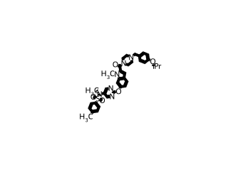 Cc1ccc(S(=O)(=O)N(C)c2cnc(Oc3ccc4cc(C(=O)N5CCN(Cc6ccc(OC(C)C)cc6)CC5)n(C)c4c3)nc2)cc1